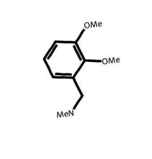 CNCc1cccc(OC)c1OC